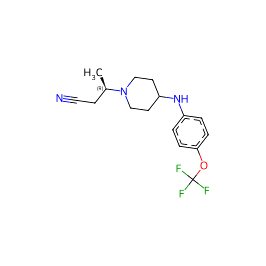 C[C@H](CC#N)N1CCC(Nc2ccc(OC(F)(F)F)cc2)CC1